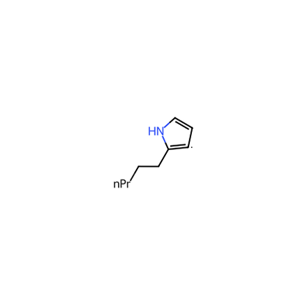 CCCCCc1[c]cc[nH]1